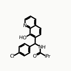 CC(C)C(=O)NC(c1ccc(Cl)cc1)c1ccc2cccnc2c1O